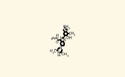 Cc1c(O)c(-c2nc(C(=O)NC(C)C)c3cc(N4C[C@@H](C)N[C@H](C)C4)ccc3n2)cc2cn(C)nc12